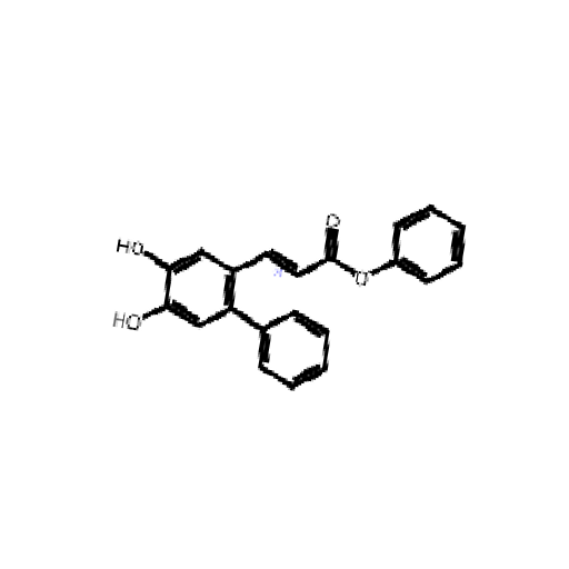 O=C(/C=C/c1cc(O)c(O)cc1-c1ccccc1)Oc1ccccc1